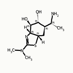 C[C@@H](N)[C@H]1C[C@@H]2SC(N(C)C)=N[C@@H]2[C@@H](O)[C@@H]1O